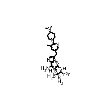 BC(B)(B)C(CCC)Nc1nc(N)c2ncc(Cc3cnc(N4CCC(N(C)C)CC4)c(C)c3)n2n1